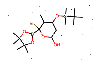 CC1C(O[Si](C)(C)C(C)(C)C)CC(O)OC1(Br)B1OC(C)(C)C(C)(C)O1